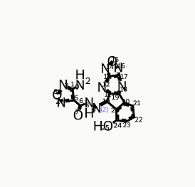 Nc1nonc1C(=O)N/N=C1\c2nc3nonc3nc2-c2cccc(O)c21